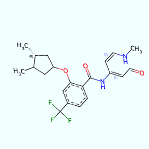 CN/C=C\C(=C/C=O)NC(=O)c1ccc(C(F)(F)F)cc1OC1CC(C)[C@H](C)C1